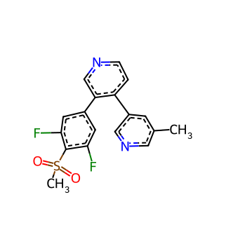 Cc1cncc(-c2ccncc2-c2cc(F)c(S(C)(=O)=O)c(F)c2)c1